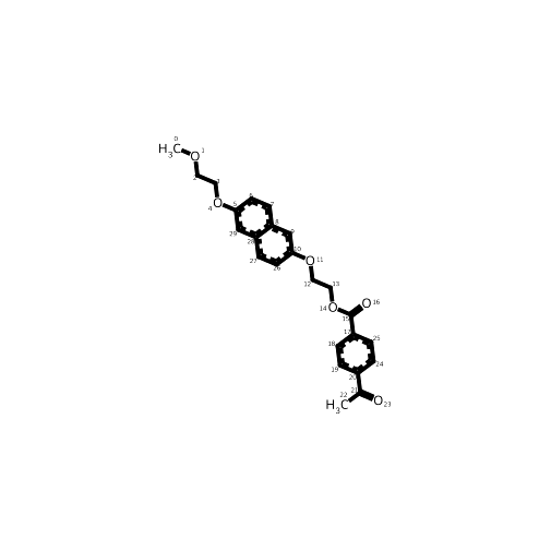 COCCOc1ccc2cc(OCCOC(=O)c3ccc(C(C)=O)cc3)ccc2c1